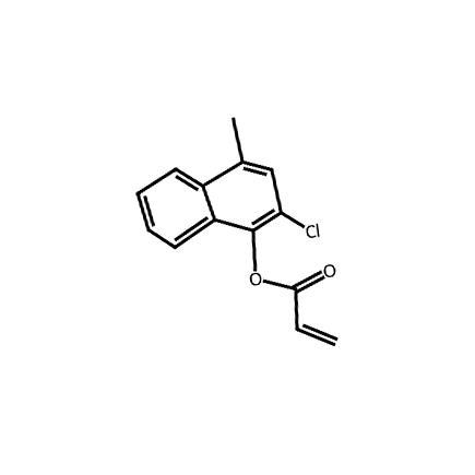 C=CC(=O)Oc1c(Cl)cc(C)c2ccccc12